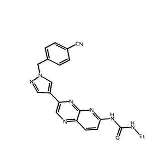 CCNC(=O)Nc1ccc2ncc(-c3cnn(Cc4ccc(C#N)cc4)c3)nc2n1